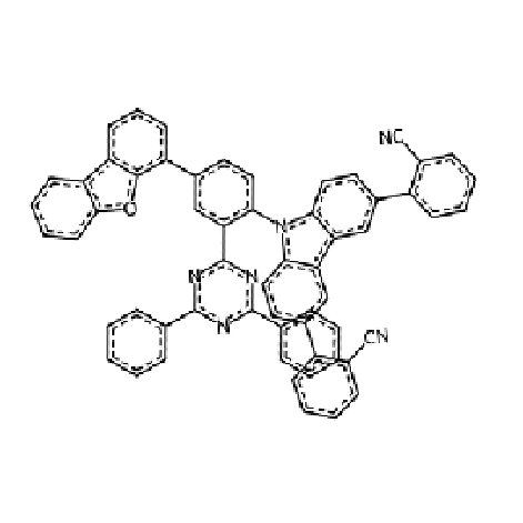 N#Cc1ccccc1-c1ccc2c(c1)c1cc(-c3ccccc3C#N)ccc1n2-c1ccc(-c2cccc3c2oc2ccccc23)cc1-c1nc(-c2ccccc2)nc(-c2ccccc2)n1